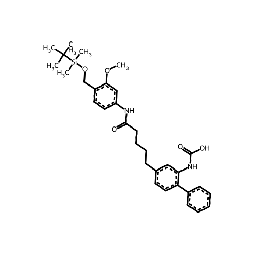 COc1cc(NC(=O)CCCCc2ccc(-c3ccccc3)c(NC(=O)O)c2)ccc1CO[Si](C)(C)C(C)(C)C